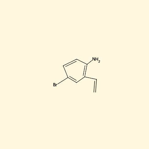 C=Cc1cc(Br)ccc1N